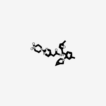 Cc1ccc(C(NC(=O)Cc2cnc(N3CCS(=O)(=O)CC3)nc2)c2ccc(C)o2)c(N2CC3CC3C2)c1